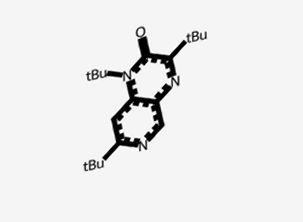 CC(C)(C)c1cc2c(cn1)nc(C(C)(C)C)c(=O)n2C(C)(C)C